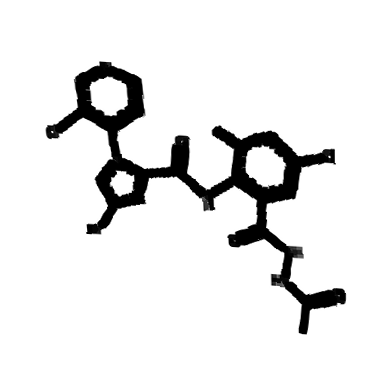 CC(=O)NNC(=O)c1cc(Cl)cc(C)c1NC(=O)c1cc(Br)cn1-c1ccncc1Cl